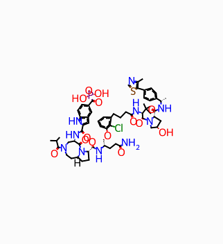 Cc1ncsc1-c1ccc([C@H](C)NC(=O)[C@@H]2C[C@@H](O)CN2C(=O)[C@@H](NC(=O)CCCc2cccc(OC[C@H](CCC(N)=O)NC(=O)[C@@H]3CC[C@@H]4CCN(C(=O)C(C)C)C[C@H](NC(=O)c5cc6cc(C(=O)P(=O)(O)O)ccc6[nH]5)C(=O)N43)c2Cl)C(C)(C)C)cc1